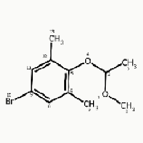 COC(C)Oc1c(C)cc(Br)cc1C